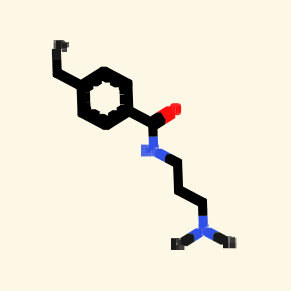 CCN(CC)CCCNC(=O)c1ccc(CC(C)C)cc1